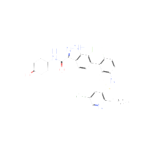 COc1ncc(Cl)cc1S(=O)(=O)Nc1ccc(F)c(-c2ccc3c(C(=O)NC4CCC(=O)CC4)n[nH]c3c2F)c1F